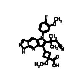 COc1cc(-n2c(C(C)(C)CC#N)c(C3CC(OC)(C(=O)O)C3)c3nc4[nH]ncc4cc32)ccc1F